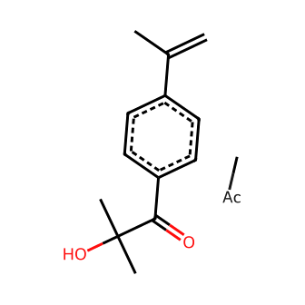 C=C(C)c1ccc(C(=O)C(C)(C)O)cc1.CC(C)=O